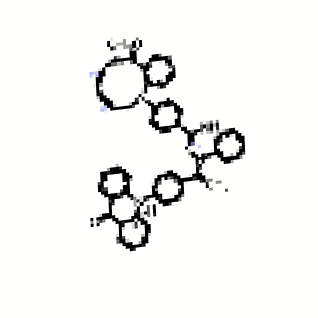 C=C(c1ccc(N2c3ccccc3C(=O)C3C=CC=C[C@H]32)cc1)N(/N=C(\N)c1ccc(N2C/C=C\C=C/[C@H](C)C(=O)c3ccccc32)cc1)c1ccccc1